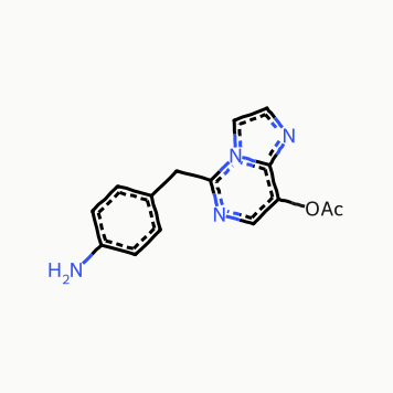 CC(=O)Oc1cnc(Cc2ccc(N)cc2)n2ccnc12